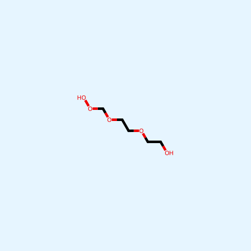 OCCOCCOCOO